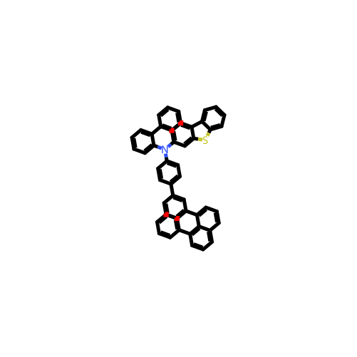 c1ccc(-c2ccccc2N(c2ccc(-c3cccc(-c4cccc5cccc(-c6ccccc6)c45)c3)cc2)c2ccc3c(c2)sc2ccccc23)cc1